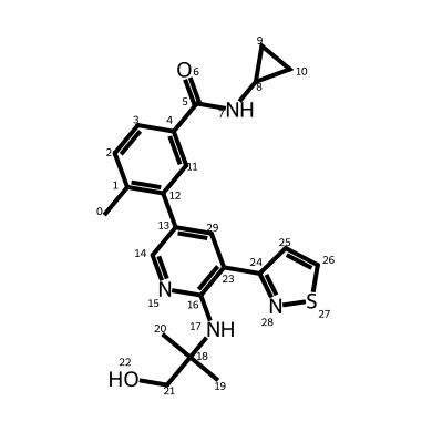 Cc1ccc(C(=O)NC2CC2)cc1-c1cnc(NC(C)(C)CO)c(-c2ccsn2)c1